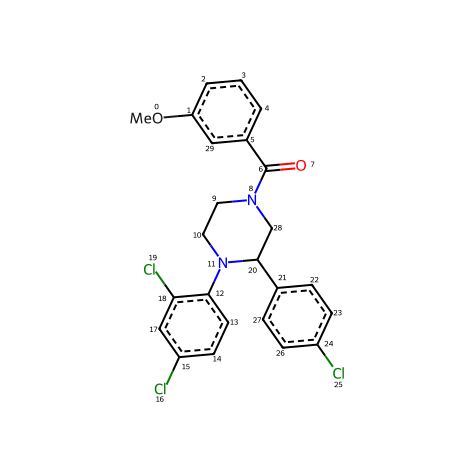 COc1cccc(C(=O)N2CCN(c3ccc(Cl)cc3Cl)C(c3ccc(Cl)cc3)C2)c1